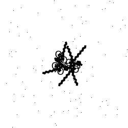 CCCCCCCCCCC(CCCCCCCC)N1C(=O)C2=C(c3ccc(-c4sc(-c5sc(C)c6c5C(=O)N(CCCCCCCC)C6=O)c5c4C(=O)N(CCCCCCCC)C5=O)s3)N(C(CCCCCCCC)CCCCCCCCCC)C(=O)C2=C1c1ccc(C)s1